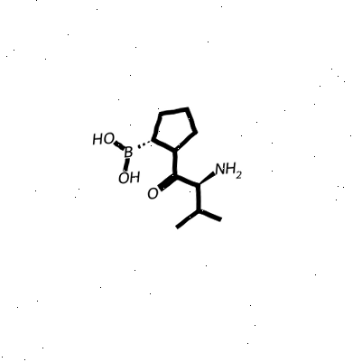 CC(C)[C@H](N)C(=O)C1CCC[C@H]1B(O)O